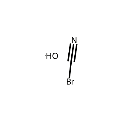 N#CBr.[OH]